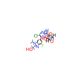 CC(C)n1c(C(C)(C)O)nc2c(F)cc(-c3nc(N[C@@H]4C[C@H]5CO[C@@H]([C@H]4O)N5S(=O)(=O)C4CCC4)ncc3Cl)cc21